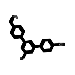 C=Cc1ccc(-c2cc(Br)cc(-c3ccc(C=O)cc3)c2)cc1